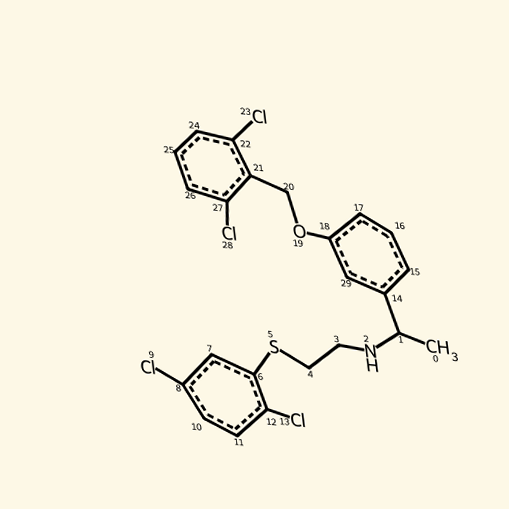 CC(NCCSc1cc(Cl)ccc1Cl)c1cccc(OCc2c(Cl)cccc2Cl)c1